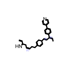 C=CC(=N)C/C=C\CCC1=CCC(/C=C/C(=C\C)c2ccc(-c3ccncc3)cc2)C=C1